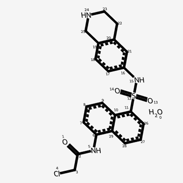 O.O=C(CCl)Nc1cccc2c(S(=O)(=O)Nc3ccc4c(c3)CCNC4)cccc12